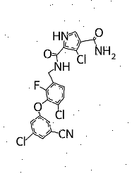 N#Cc1cc(Cl)cc(Oc2c(Cl)ccc(CNC(=O)c3[nH]cc(C(N)=O)c3Cl)c2F)c1